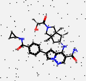 C[C@H]1[C@@H]2CN(C(=O)[C@@H](C)O)C[C@H]2C[C@H]1Nc1c(C(N)=O)cnn2cc(-c3ccc(C(=O)NC4CC4)cc3)cc12